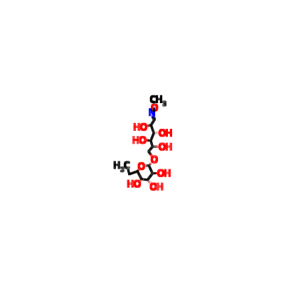 CCC1O[C@H](OCC(O)[C@@H](O)[C@@H](O)C(O)/C=N/OC)C(O)[C@H](O)[C@@H]1O